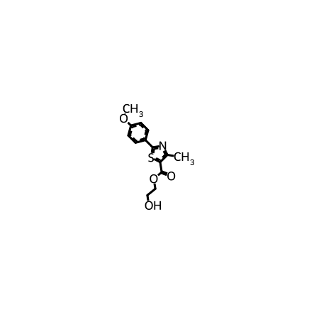 COc1ccc(-c2nc(C)c(C(=O)OCCO)s2)cc1